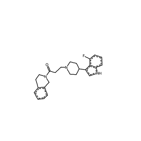 O=C(CCN1CCC(c2c[nH]c3cccc(F)c23)CC1)N1CCc2ccccc2C1